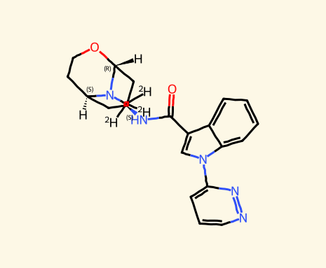 [2H]C([2H])([2H])N1[C@@H]2CCO[C@@H]1C[C@@H](NC(=O)c1cn(-c3cccnn3)c3ccccc13)C2